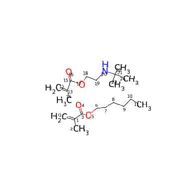 C=C(C)C(=O)OCCCCCC.C=C(C)C(=O)OCCNC(C)(C)C